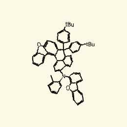 Cc1ccccc1N(c1ccc2c3c(cccc13)C(c1ccc(C(C)(C)C)cc1)(c1ccc(C(C)(C)C)cc1)c1ccc3oc4ccccc4c3c1-2)c1cccc2c1oc1ccccc12